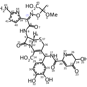 COC(C)(O/N=C(\C(=O)NC1C(=O)N2C(C(=O)O)=C(C(NC(=O)C3=CC(=O)C(O)C=N3)c3ccc(O)c(O)c3)CS[C@@H]12)c1csc(N)n1)C(=O)O